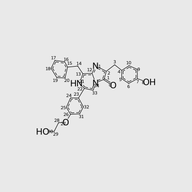 O=c1c(Cc2ccc(O)cc2)nc2c(Cc3ccccc3)[nH]c(-c3ccc(OCCO)cc3)cn1-2